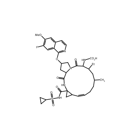 CCC1CC(C)CCC=CC2CC2(C(=O)NS(=O)(=O)C2CC2)NC(=O)C2CC(Oc3nccc4cc(OC)c(F)cc34)CN2C(=O)C1NC(=O)O